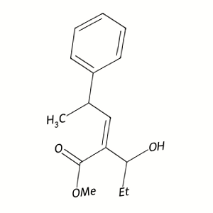 CCC(O)C(=CC(C)c1ccccc1)C(=O)OC